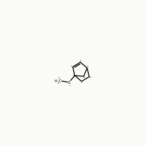 COC12C=CC(CC1)C2